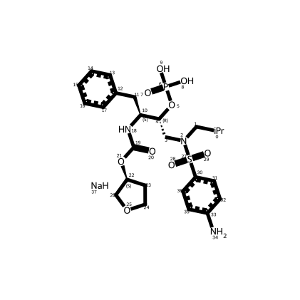 CC(C)CN(C[C@@H](OP(=O)(O)O)[C@H](Cc1ccccc1)NC(=O)O[C@H]1CCOC1)S(=O)(=O)c1ccc(N)cc1.[NaH]